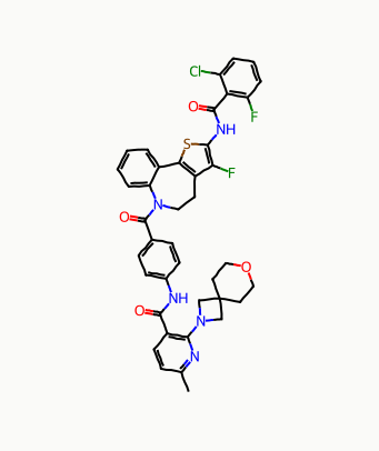 Cc1ccc(C(=O)Nc2ccc(C(=O)N3CCc4c(sc(NC(=O)c5c(F)cccc5Cl)c4F)-c4ccccc43)cc2)c(N2CC3(CCOCC3)C2)n1